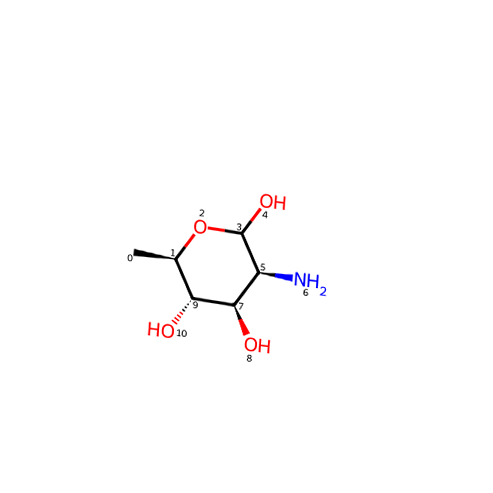 C[C@H]1OC(O)[C@@H](N)[C@@H](O)[C@@H]1O